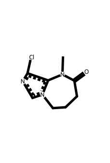 CN1C(=O)CCCn2cnc(Cl)c21